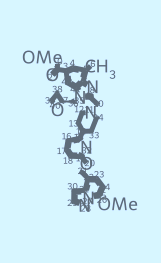 COC(=O)c1cc(C)c2nc(CN3CCC(c4cccc(OCc5ccc(OC)n6nccc56)n4)CC3)n(C[C@@H]3CCO3)c2c1